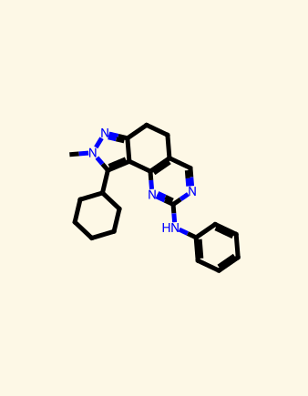 Cn1nc2c(c1C1CCCCC1)-c1nc(Nc3ccccc3)ncc1CC2